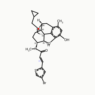 Cc1cc(O)c2c3c1C[C@@H]1[C@@H]4CC[C@H](N(C)C(=O)/C=C/c5cc(Br)cs5)[C@H](O2)[C@]34CCN1CC1CC1